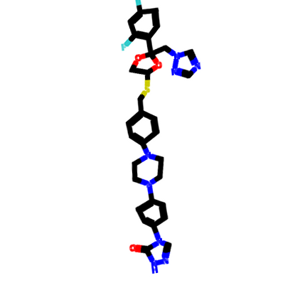 O=c1[nH]ncn1-c1ccc(N2CCN(c3ccc(CSC4COC(Cn5cncn5)(c5ccc(F)cc5F)O4)cc3)CC2)cc1